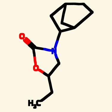 CCC1CN(C2CC3CCC2C3)C(=O)O1